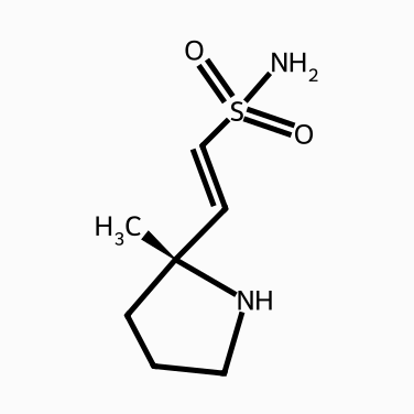 C[C@]1(/C=C/S(N)(=O)=O)CCCN1